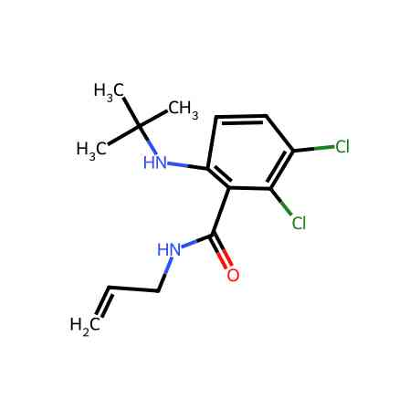 C=CCNC(=O)c1c(NC(C)(C)C)ccc(Cl)c1Cl